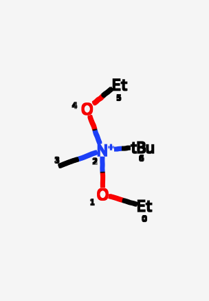 CCO[N+](C)(OCC)C(C)(C)C